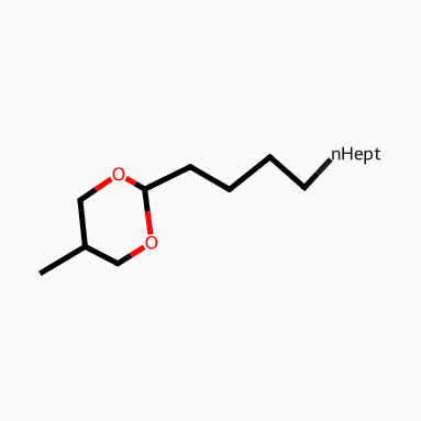 CCCCCCCCCCCC1OCC(C)CO1